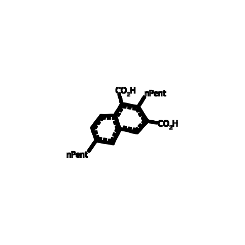 CCCCCc1ccc2c(C(=O)O)c(CCCCC)c(C(=O)O)cc2c1